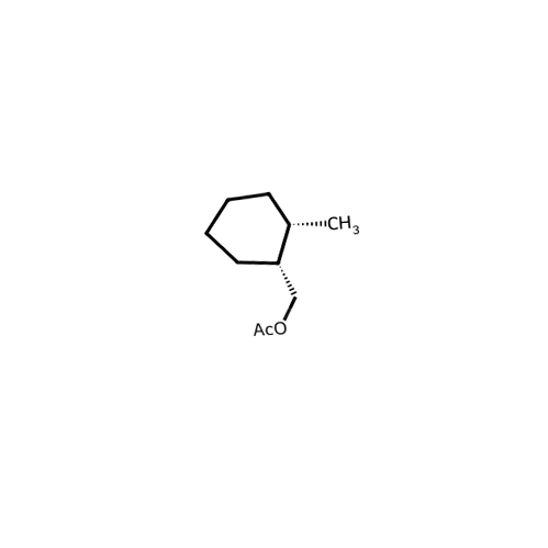 CC(=O)OC[C@@H]1CCCC[C@@H]1C